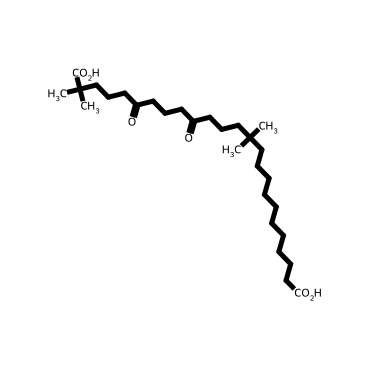 CC(C)(CCCCCCCCCCC(=O)O)CCCC(=O)CCCC(=O)CCCC(C)(C)C(=O)O